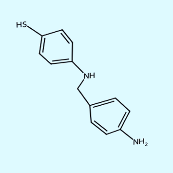 Nc1ccc(CNc2ccc(S)cc2)cc1